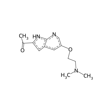 CC(=O)c1cc2cc(OCCN(C)C)cnc2[nH]1